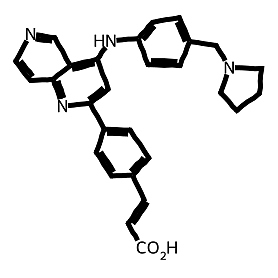 O=C(O)/C=C/c1ccc(-c2cc(Nc3ccc(CN4CCCC4)cc3)c3cnccc3n2)cc1